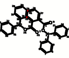 O=C(O[I+](c1ccccc1)c1ccccc1)c1ccccc1C(=O)O[I+](c1ccccc1)c1ccccc1